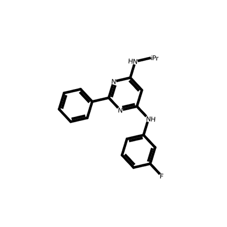 CC(C)Nc1cc(Nc2cccc(F)c2)nc(-c2ccccc2)n1